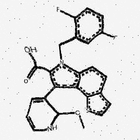 COC1NC=CC=C1c1c(C(=O)O)n(Cc2cc(F)ccc2F)c2ccc3ccsc3c12